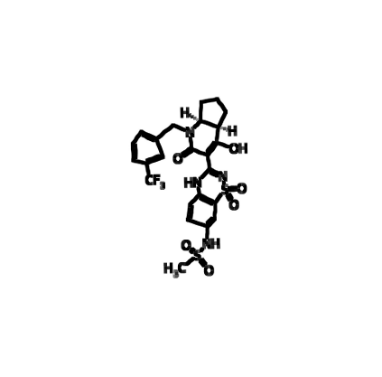 CS(=O)(=O)Nc1ccc2c(c1)S(=O)(=O)N=C(C1=C(O)[C@@H]3CCC[C@@H]3N(Cc3cccc(C(F)(F)F)c3)C1=O)N2